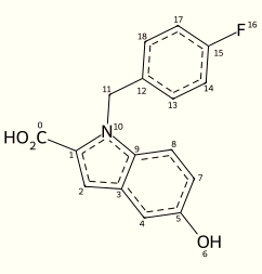 O=C(O)c1cc2cc(O)ccc2n1Cc1ccc(F)cc1